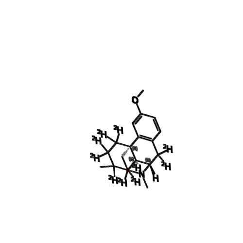 [2H]C1([2H])c2ccc(OC)cc2[C@@]23CCN(C)[C@@H]1[C@@]2([2H])C([2H])([2H])C([2H])(C)C([2H])([2H])C3([2H])[2H]